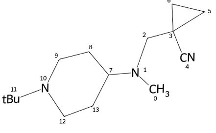 CN(CC1(C#N)CC1)C1CCN(C(C)(C)C)CC1